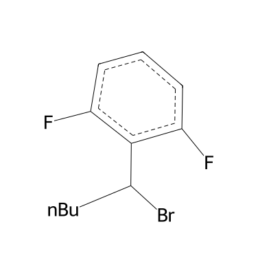 CCCCC(Br)c1c(F)cccc1F